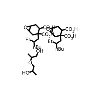 CC(O)COC(C)CO.CCCCC(CC)CC1(C(=O)O)CC2OC2CC1C(=O)O.CCCCC(CC)CC1(C(=O)O)CC2OC2CC1C(=O)O